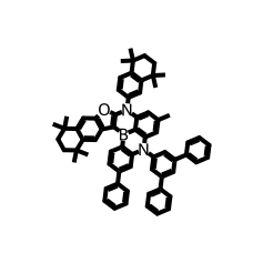 Cc1cc2c3c(c1)N(c1ccc4c(c1)C(C)(C)CCC4(C)C)c1oc4cc5c(cc4c1B3c1ccc(-c3ccccc3)cc1N2c1cc(-c2ccccc2)cc(-c2ccccc2)c1)C(C)(C)CCC5(C)C